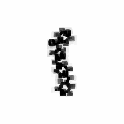 O=C(c1cnn(CN2CCN(Cc3ccncc3)CC2)c1)N1CCOCC1